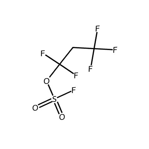 O=S(=O)(F)OC(F)(F)CC(F)(F)F